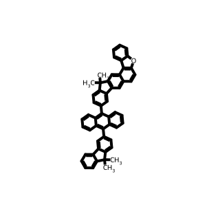 CC1(C)c2ccccc2-c2cc(-c3c4ccccc4c(-c4ccc5c(c4)-c4cc6ccc7oc8ccccc8c7c6cc4C5(C)C)c4ccccc34)ccc21